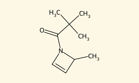 CC1C=CN1C(=O)C(C)(C)C